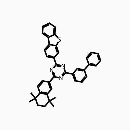 CC1(C)CCC(C)(C)c2cc(-c3nc(-c4cccc(-c5ccccc5)c4)nc(-c4ccc5c(c4)sc4ccccc45)n3)ccc21